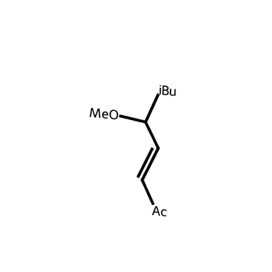 CCC(C)C(C=CC(C)=O)OC